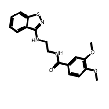 COc1ccc(C(=O)NCCNc2nsc3ccccc23)cc1OC